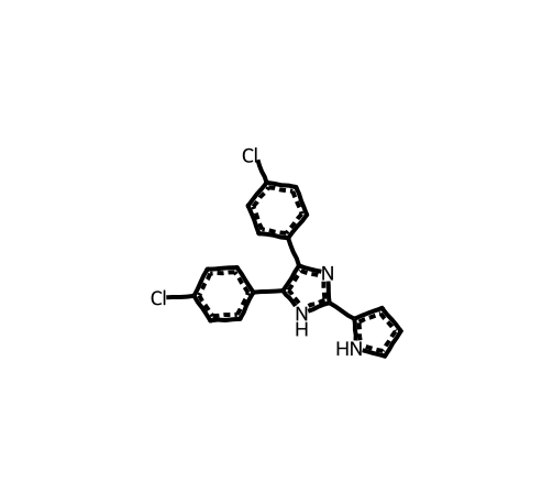 Clc1ccc(-c2nc(-c3ccc[nH]3)[nH]c2-c2ccc(Cl)cc2)cc1